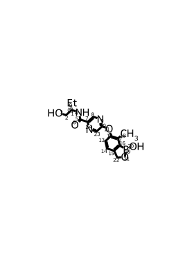 CC[C@@H](CO)NC(=O)c1cnc(Oc2ccc3c(c2C)B(O)OC3)cn1